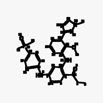 CCC(=O)c1cnc(Nc2ccc(P(C)(C)=O)cn2)cc1Nc1cccc(-c2ncn(C)n2)c1OC